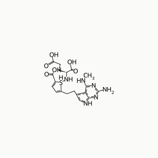 CNc1nc(N)nc2[nH]cc(CCC3=CC=C(C(=O)O)[SH]3N[C@@H](CCC(=O)O)C(=O)O)c12